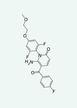 COCCOc1cc(F)c(-n2c(N)c(C(=O)c3ccc(F)cc3)ccc2=O)c(F)c1